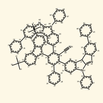 CC(C)(C)c1ccc2c(c1)c1cc(C(C)(C)C)ccc1n2-c1cc(-c2ccccc2)c(-c2ccc3c(c2)C2C(=Nc4ccc(-c5ccccc5)cc42)N3c2ccccc2)c(C#N)c1-c1ccc2c(c1)n1c3cc(-c4ccccc4)ccc3nc1n2-c1ccccc1